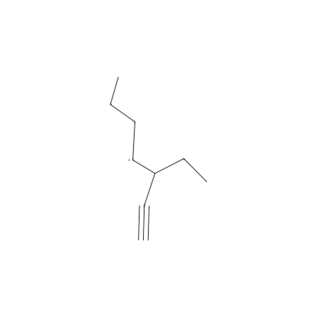 C#CC([CH]CCC)CC